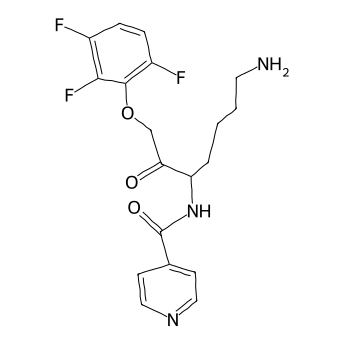 NCCCCC(NC(=O)c1ccncc1)C(=O)COc1c(F)ccc(F)c1F